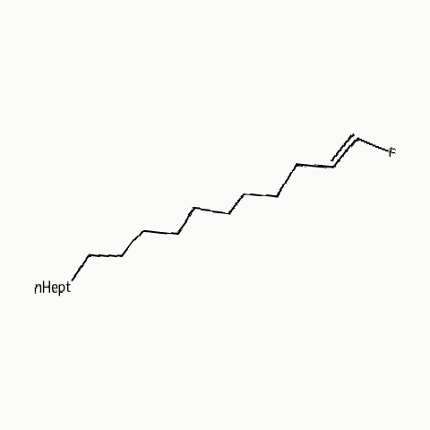 CCCCCCCCCCCCCCCCC=CF